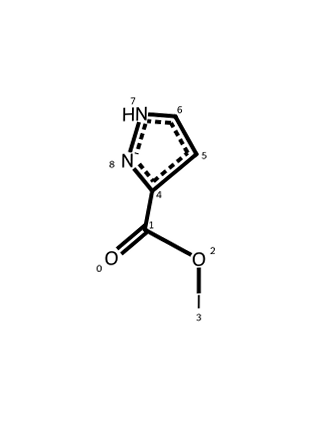 O=C(OI)c1cc[nH]n1